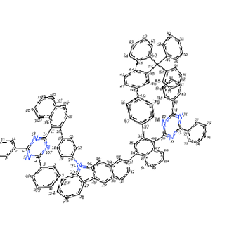 c1ccc(-c2nc(-c3ccccc3)nc(-c3c(-c4ccc(-n5c6ccccc6c6cc7ccc(-c8cc(-c9ccc(-c%10ccc%11c(c%10)C(c%10ccccc%10)(c%10ccccc%10)c%10ccccc%10-%11)cc9)c(-c9nc(-c%10ccccc%10)nc(-c%10ccccc%10)n9)c9ccccc89)cc7cc65)cc4)ccc4ccccc34)n2)cc1